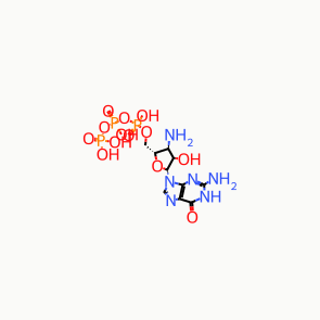 Nc1nc2c(ncn2[C@@H]2O[C@H](COP(=O)(O)OP(=O)(O)OP(=O)(O)O)[C@@H](N)[C@H]2O)c(=O)[nH]1